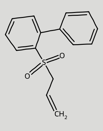 C=CCS(=O)(=O)c1ccccc1-c1ccccc1